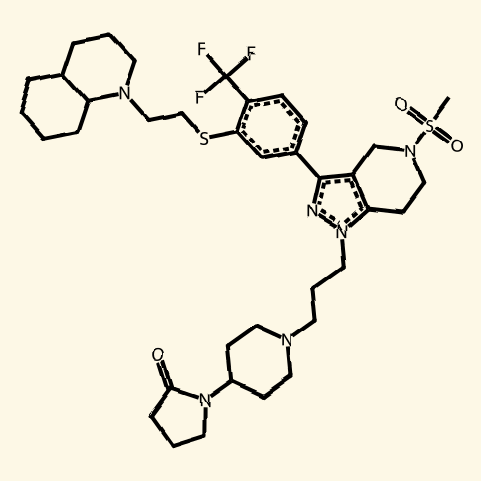 CS(=O)(=O)N1CCc2c(c(-c3ccc(C(F)(F)F)c(SCCN4CCCC5CCCCC54)c3)nn2CCCN2CCC(N3CCCC3=O)CC2)C1